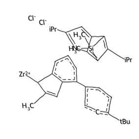 CC(C)C1=NC2=C3C(C(C)C)=C(C2=C1)[Si]3(C)C.CC1=Cc2c(-c3ccc(C(C)(C)C)cc3)cccc2[CH]1[Zr+2].[Cl-].[Cl-]